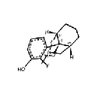 CO[C@]1(c2cccc(O)c2F)[C@@H]2CCC[C@H]1CN(C)C2